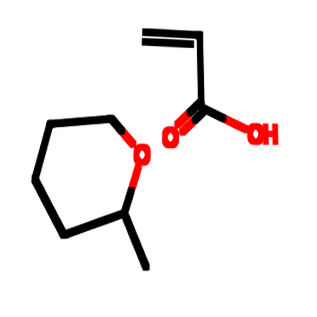 C=CC(=O)O.CC1CCCCO1